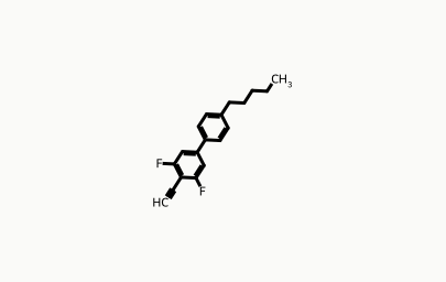 C#Cc1c(F)cc(-c2ccc(CCCCC)cc2)cc1F